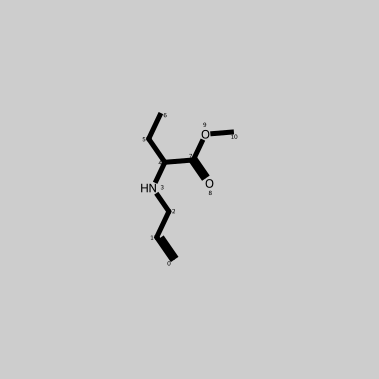 C=CCNC(CC)C(=O)OC